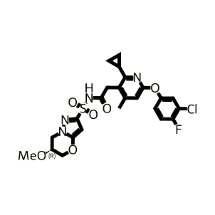 CO[C@H]1COc2cc(S(=O)(=O)NC(=O)Cc3c(C)cc(Oc4ccc(F)c(Cl)c4)nc3C3CC3)nn2C1